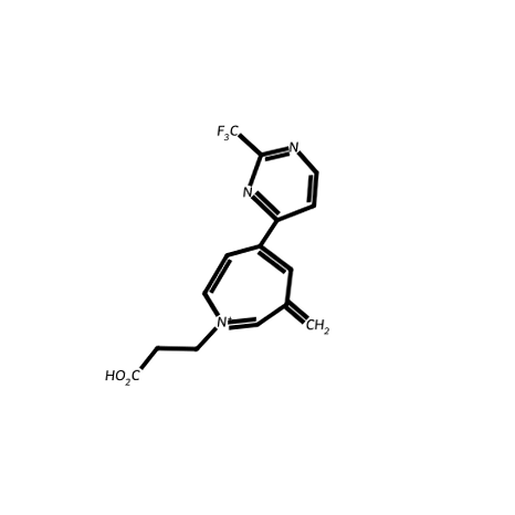 C=C1C=C(c2ccnc(C(F)(F)F)n2)C=C[N+](CCC(=O)O)=C1